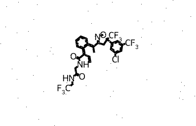 C=C/C(C(=O)NCC(=O)NCC(F)(F)F)=c1/cccc/c1=C(/C)C1=NOC(c2cc(Cl)cc(C(F)(F)F)c2)(C(F)(F)F)C1